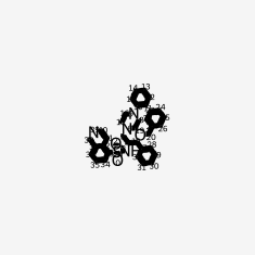 O=S(=O)(NC(CN1CCN(c2ccccc2)CC1)C(OCc1ccccc1)c1ccccc1)c1cccc2cnccc12